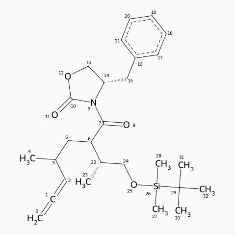 C=C=CC(C)CC(C(=O)N1C(=O)OC[C@@H]1Cc1ccccc1)[C@@H](C)CO[Si](C)(C)C(C)(C)C